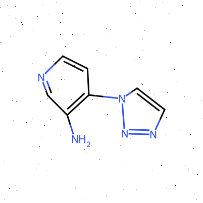 Nc1cnccc1-n1ccnn1